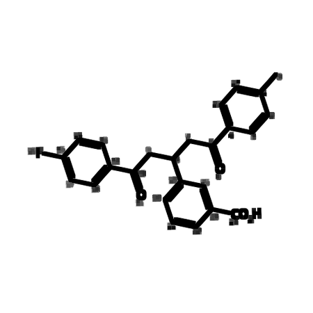 Cc1ccc(C(=O)CC(CC(=O)c2ccc(F)cc2)c2cccc(C(=O)O)c2)cc1